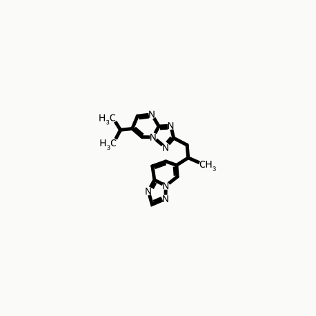 CC(C)c1cnc2nc(CC(C)c3ccc4ncnn4c3)nn2c1